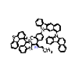 C=C/C=C(/c1nc(-c2cccc3sc4ccccc4c23)c2ccccc2n1)c1ccc(-n2c3ccccc3c3cc4cccc(-n5c6ccccc6c6c7ccccc7ccc65)c4cc32)cc1C